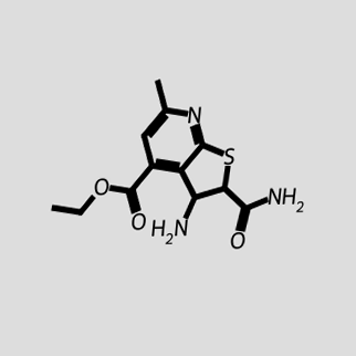 CCOC(=O)c1cc(C)nc2c1C(N)C(C(N)=O)S2